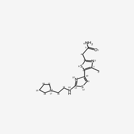 Cc1nc(CC(N)=O)sc1-c1csc(NCCN2CCCC2)n1